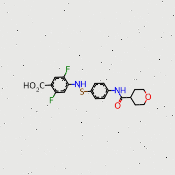 O=C(O)c1cc(F)c(NSc2ccc(NC(=O)C3CCOCC3)cc2)cc1F